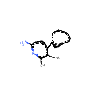 N#Cc1nc(N)cc(-c2ccccc2)c1C#N